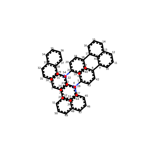 c1ccc(N(c2ccc(-c3cccc4cccc(-c5ccc(N(c6ccccc6)c6cccc7ccccc67)cc5)c34)cc2)c2cccc3ccccc23)cc1